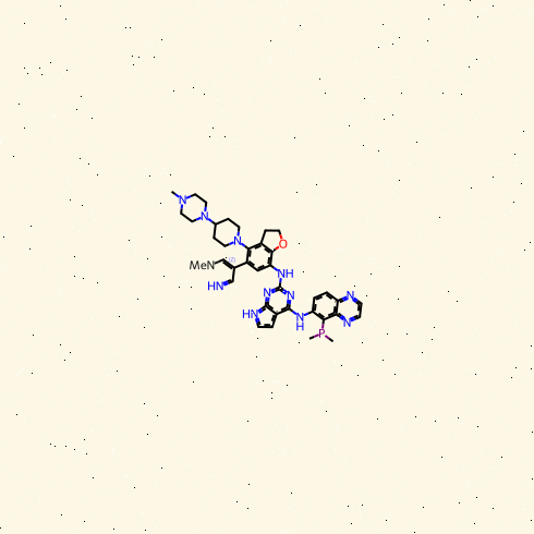 CN/C=C(\C=N)c1cc(Nc2nc(Nc3ccc4nccnc4c3P(C)C)c3cc[nH]c3n2)c2c(c1N1CCC(N3CCN(C)CC3)CC1)CCO2